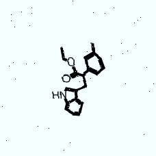 CCOC(=O)C(Cc1c[nH]c2ccccc12)c1cccc(C)c1